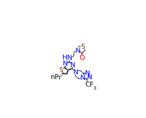 CCCc1cc2c(N3CCn4c(nnc4C(F)(F)F)C3)nc(NCCN3CSCC3=O)nc2s1